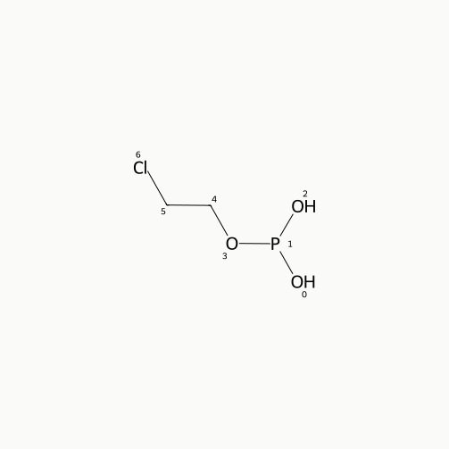 OP(O)OCCCl